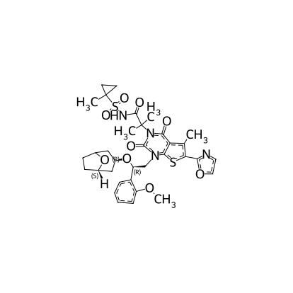 COc1ccccc1[C@H](Cn1c(=O)n(C(C)(C)C(=O)NS(=O)(=O)C2(C)CC2)c(=O)c2c(C)c(-c3ncco3)sc21)O[C@@H]1CC2CC[C@@H](C1)O2